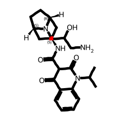 CC(C)N1C(=O)C(C(=O)N[C@@H]2C[C@H]3CC[C@@H](C2)N3CC(O)CN)C(=O)c2ccccc21